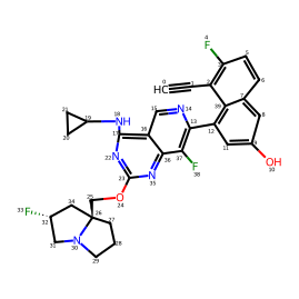 C#Cc1c(F)ccc2cc(O)cc(-c3ncc4c(NC5CC5)nc(OC[C@@]56CCCN5C[C@H](F)C6)nc4c3F)c12